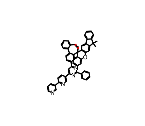 CC1(C)c2ccccc2-c2cc3c(cc21)Oc1ccccc1C31c2ccccc2-c2ccccc2-c2ccc(-c3cc(-c4ccc(-c5cccnc5)nc4)nc(-c4ccccc4)n3)cc21